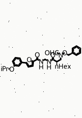 CCCCCC[C@H](CN(C=O)OCc1ccccc1)C(=O)NCNC(=O)c1ccc(-c2cccc(OC(C)C)c2)o1